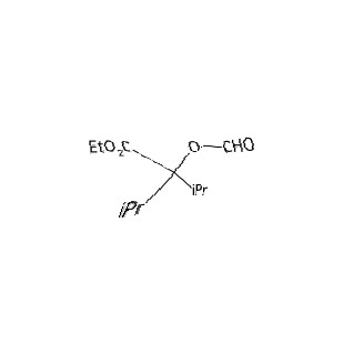 CCOC(=O)C(OC=O)(C(C)C)C(C)C